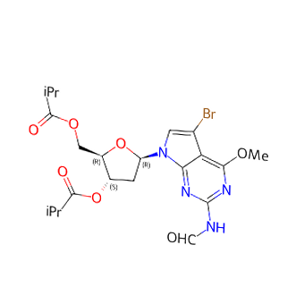 COc1nc(NC=O)nc2c1c(Br)cn2[C@H]1C[C@H](OC(=O)C(C)C)[C@@H](COC(=O)C(C)C)O1